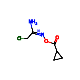 N/C(CCl)=N/OC(=O)C1CC1